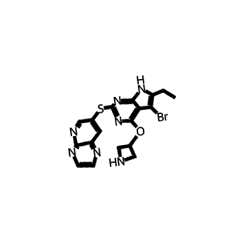 CCc1[nH]c2nc(Sc3cnc4nccnc4c3)nc(OC3CNC3)c2c1Br